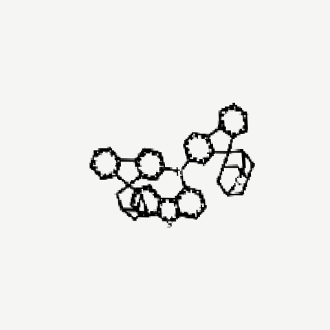 c1ccc2c(c1)-c1ccc(N(c3ccc4c(c3)C3(c5ccccc5-4)C4CCC5CC(C4)CC3C5)c3cccc4sc5ccccc5c34)cc1C21CC2CCC1C2